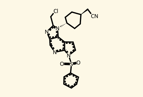 N#CC[C@H]1CC[C@H](n2c(CCl)nc3cnc4c(ccn4S(=O)(=O)c4ccccc4)c32)CC1